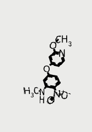 CNc1cc(Oc2ccnc(OC)c2)ccc1[N+](=O)[O-]